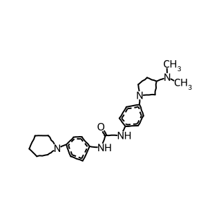 CN(C)C1CCN(c2ccc(NC(=O)Nc3ccc(N4CCCCC4)cc3)cc2)C1